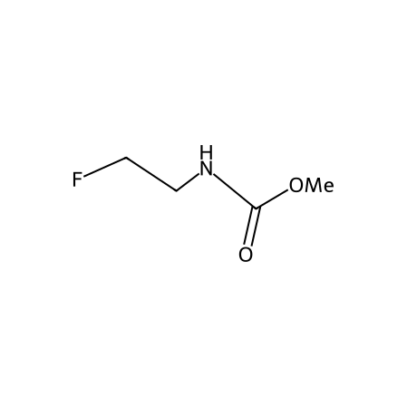 COC(=O)NCCF